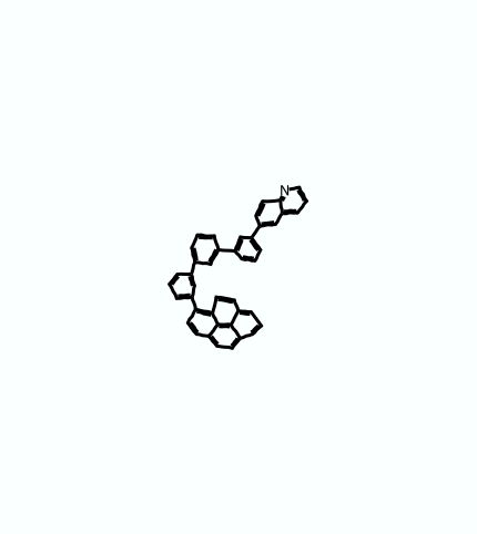 c1cc(-c2cccc(-c3ccc4ncccc4c3)c2)cc(-c2cccc(-c3ccc4ccc5cccc6ccc3c4c56)c2)c1